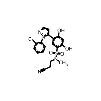 CN(CCC#N)S(=O)(=O)c1cc(-c2ccnn2-c2ccccc2Cl)c(O)cc1O